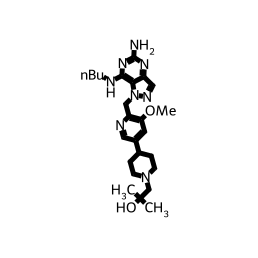 CCCCNc1nc(N)nc2cnn(Cc3ncc(C4CCN(CC(C)(C)O)CC4)cc3OC)c12